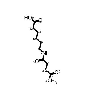 CC(=O)SCC(=O)NCCCCCC(=O)O